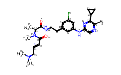 CCc1ncc(Nc2cc(F)cc(CCNC(=O)[C@H](C)N(C)C(=O)/C=C/CN(C)C)c2)nc1C1CC1